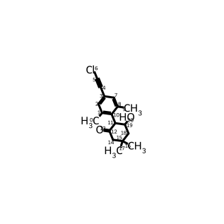 Cc1cc(C#CCl)cc(C)c1C1C(=O)CC(C)(C)CC1O